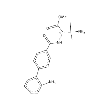 COC(=O)[C@@H](NC(=O)c1ccc(-c2ccccc2N)cc1)C(C)(C)N